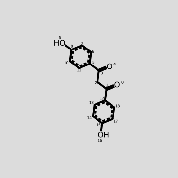 O=C([CH]C(=O)c1ccc(O)cc1)c1ccc(O)cc1